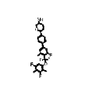 Cc1cc(-c2ccc(C3CCC(S)CO3)cc2)cc(F)c1C(F)(F)Oc1cc(F)c(C)c(F)c1C